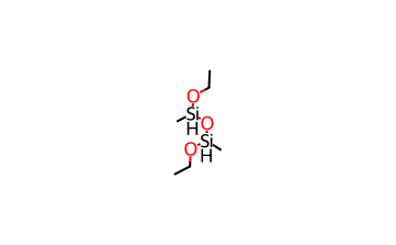 CCO[SiH](C)O[SiH](C)OCC